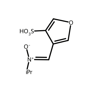 CC(C)[N+]([O-])=Cc1cocc1S(=O)(=O)O